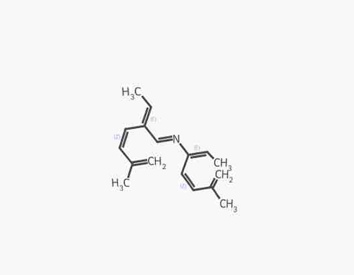 C=C(C)/C=C\C(C=NC(/C=C\C(=C)C)=C/C)=C/C